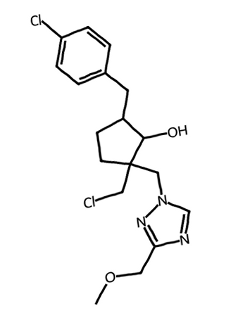 COCc1ncn(CC2(CCl)CCC(Cc3ccc(Cl)cc3)C2O)n1